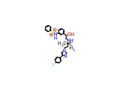 CC(C)(CCn1cnc(-c2ccc(F)cc2)c1)NCC(O)c1cccc(NS(=O)(=O)c2ccccc2)c1